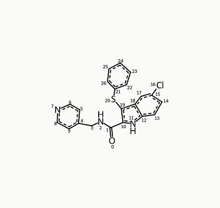 O=C(NCc1ccncc1)c1[nH]c2ccc(Cl)cc2c1Sc1ccccc1